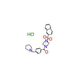 Cl.O=C(c1ccc(CN2CCCCC2)cc1)N1CCN(S(=O)(=O)c2ccc3ccccc3c2)CC1